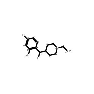 C[C](C)CN1CCC(C(F)c2ccc(F)cc2F)CC1